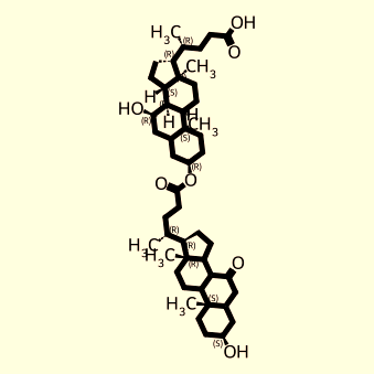 C[C@H](CCC(=O)O)[C@H]1CC[C@H]2[C@@H]3[C@H](O)CC4C[C@H](OC(=O)CC[C@@H](C)[C@H]5CCC6C7C(=O)CC8C[C@@H](O)CC[C@]8(C)C7CC[C@@]65C)CC[C@]4(C)[C@H]3CC[C@]12C